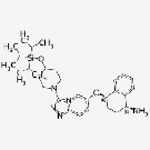 CC(C)[Si](OC1CCN(c2nnc3ccc(O[C@@H]4CC[C@H](N)c5ccccc54)cn23)CC1)(C(C)C)C(C)C